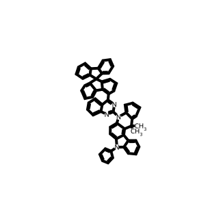 CC1(C)c2ccccc2N(c2nc(-c3cccc4c3-c3ccccc3C43c4ccccc4-c4ccccc43)c3ccccc3n2)c2ccc3c(c21)c1ccccc1n3-c1ccccc1